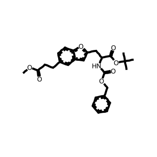 COC(=O)CCc1ccc2oc(CC(NC(=O)OCc3ccccc3)C(=O)OC(C)(C)C)cc2c1